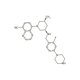 C[C@H]1C[C@@H](NCc2ccc(N3CCNCC3)cc2F)CN(c2ccc(C#N)c3ncccc23)C1